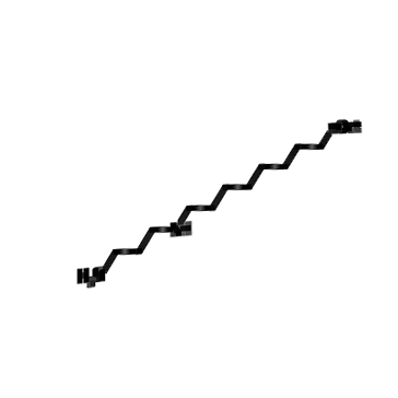 CCCCCCCCCCCCCCCCNCCC[SiH3]